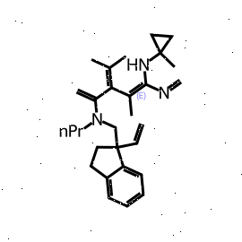 C=CC1(CN(CCC)C(=C)C(=C(C)C)/C(C)=C(/N=C)NC2(C)CC2)CCc2ccccc21